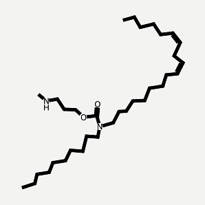 CCCCC/C=C\C/C=C\CCCCCCCCN(CCCCCCCCCC)C(=O)OCCCNC